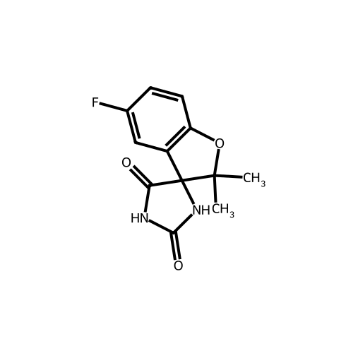 CC1(C)Oc2ccc(F)cc2C12NC(=O)NC2=O